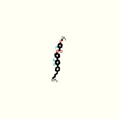 CCCCCC1CCC(c2ccc(-c3ccc(OC(=O)c4ccc(OCC)cc4F)cc3)c(F)c2F)CC1